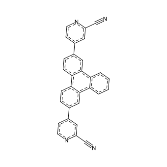 N#Cc1cc(-c2ccc3c4ccc(-c5ccnc(C#N)c5)cc4c4ccccc4c3c2)ccn1